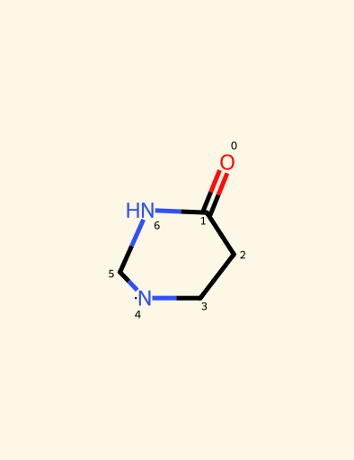 O=C1CC[N]CN1